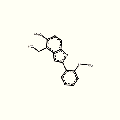 CCCCOc1ccccc1-c1cc2c(CO)c(OC)ccc2o1